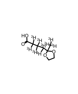 [2H]C([2H])([2H])C1(C([2H])([2H])C([2H])([2H])C([2H])([2H])C(=O)O)OCCO1